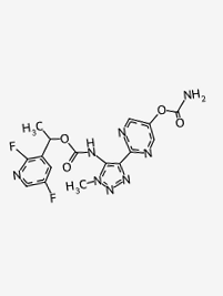 CC(OC(=O)Nc1c(-c2ncc(OC(N)=O)cn2)nnn1C)c1cc(F)cnc1F